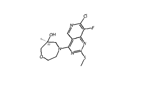 CSc1nc(N2CCOC[C@@](C)(O)C2)c2cnc(Cl)c(F)c2n1